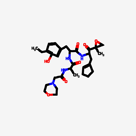 CCc1ccc(CC(NC(=O)C(C)NC(=O)CN2CCOCC2)C(=O)NC(CC2=CCCC2)C(=O)C2(C)CO2)cc1O